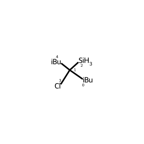 CCC(C)C([SiH3])(Cl)C(C)CC